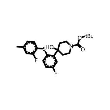 Cc1ccc(Sc2ccc(F)cc2C2(O)CCN(C(=O)OC(C)(C)C)CC2)c(F)c1